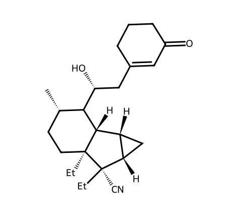 CC[C@]12CC[C@H](C)C([C@H](O)CC3=CC(=O)CCC3)[C@@H]1[C@@H]1C[C@@H]1[C@@]2(C#N)CC